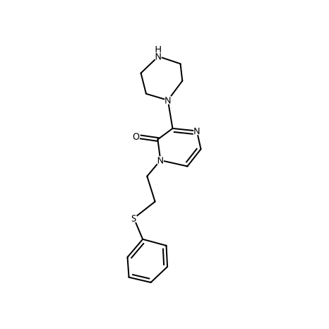 O=c1c(N2CCNCC2)nccn1CCSc1ccccc1